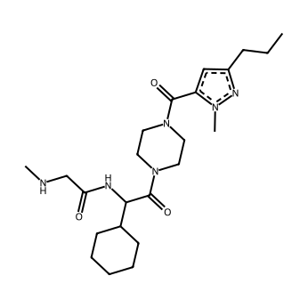 CCCc1cc(C(=O)N2CCN(C(=O)C(NC(=O)CNC)C3CCCCC3)CC2)n(C)n1